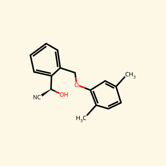 Cc1ccc(C)c(OCc2ccccc2[C@@H](O)C#N)c1